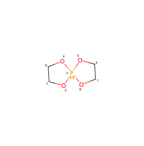 C1CO[PH]2(O1)OCCO2